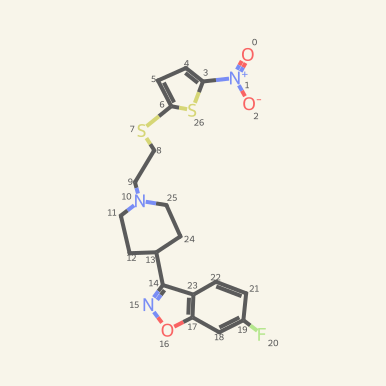 O=[N+]([O-])c1ccc(SCCN2CCC(c3noc4cc(F)ccc34)CC2)s1